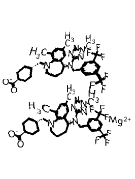 Cc1cc(C)c2c(c1)[C@@H](N(Cc1cc(C(F)(F)F)cc(C(F)(F)F)c1)c1nnn(C)n1)CCCN2C[C@H]1CC[C@H](C(=O)[O-])CC1.Cc1cc(C)c2c(c1)[C@@H](N(Cc1cc(C(F)(F)F)cc(C(F)(F)F)c1)c1nnn(C)n1)CCCN2C[C@H]1CC[C@H](C(=O)[O-])CC1.[Mg+2]